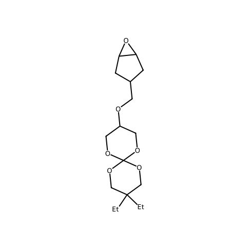 CCC1(CC)COC2(OCC(OCC3CC4OC4C3)CO2)OC1